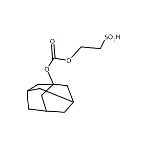 O=C(OCCS(=O)(=O)O)OC12CC3CC(CC(C3)C1)C2